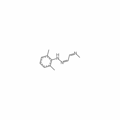 C/N=C\C=N/Nc1c(C)cccc1C